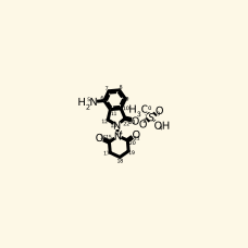 CS(=O)(=O)O.Nc1cccc2c1CN(N1C(=O)CCCC1=O)C2=O